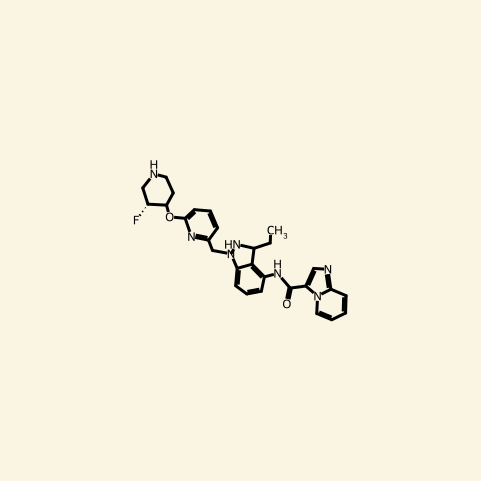 CCC1NN(Cc2cccc(OC3CCNC[C@H]3F)n2)c2cccc(NC(=O)c3cnc4ccccn34)c21